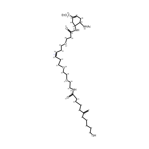 C=C(CCCCCS)CCCCC(=O)NCCOCCOCC/C=C\CCOCCC(=O)NC1CC(C(=O)OCC)=CCC1NC(C)=O